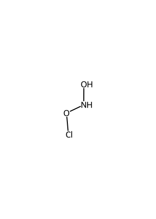 ONOCl